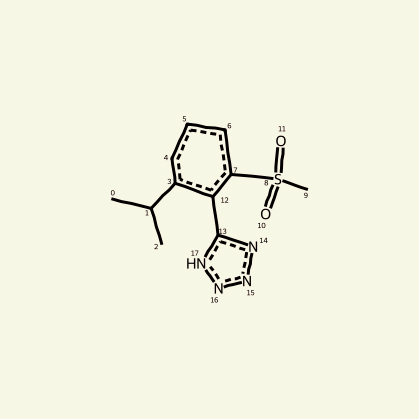 CC(C)c1cccc(S(C)(=O)=O)c1-c1nnn[nH]1